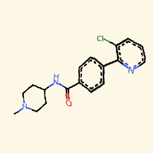 CN1CCC(NC(=O)c2ccc(-c3ncccc3Cl)cc2)CC1